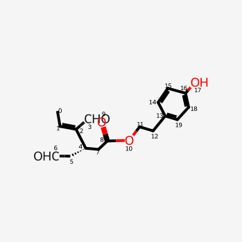 C/C=C(\C=O)[C@@H](CC=O)CC(=O)OCCc1ccc(O)cc1